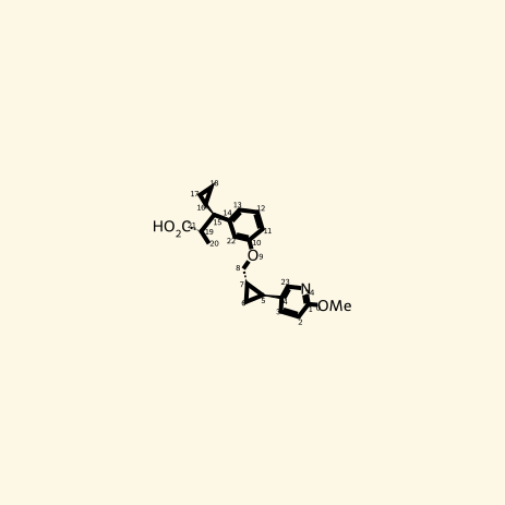 COc1ccc([C@H]2C[C@@H]2COc2cccc([C@H](C3CC3)[C@H](C)C(=O)O)c2)cn1